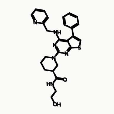 O=C(NCCO)[C@H]1CCCN(c2nc(NCc3ccccn3)c3c(-c4ccccc4)csc3n2)C1